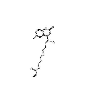 C=CC(=O)OCCCSCCCN(c1cc(=O)oc2ccc(C)cc12)C(C)C